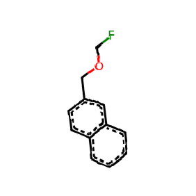 FCOCc1ccc2ccccc2c1